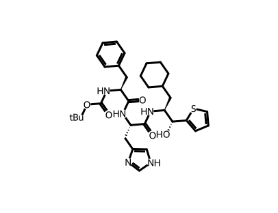 CC(C)(C)OC(=O)N[C@@H](Cc1ccccc1)C(=O)N[C@@H](Cc1c[nH]cn1)C(=O)N[C@@H](CC1CCCCC1)[C@@H](O)c1cccs1